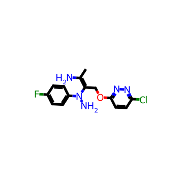 C/C(N)=C(\COc1ccc(Cl)nn1)N(N)c1ccc(F)cc1